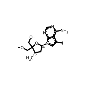 C[C@H]1C[C@H](n2cc(I)c3c(N)ncnc32)OC1(CO)CO